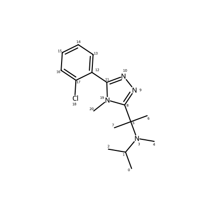 CC(C)N(C)C(C)(C)c1nnc(-c2ccccc2Cl)n1C